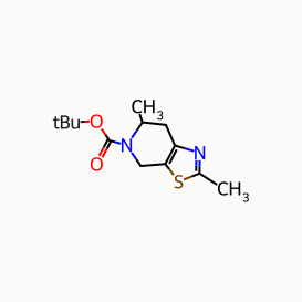 Cc1nc2c(s1)CN(C(=O)OC(C)(C)C)C(C)C2